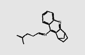 CC(C)CCC=Nc1c2c(nc3ccccc13)C1CCC2C1